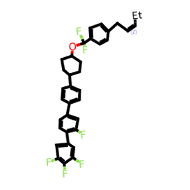 CC/C=C\Cc1ccc(C(F)(F)OC2CCC(c3ccc(-c4ccc(-c5cc(F)c(F)c(F)c5)c(F)c4)cc3)CC2)cc1